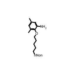 CCCCCCCCCCCCCCOc1c(C)cc(C)cc1N